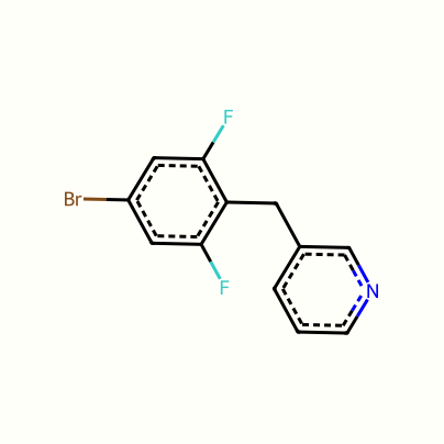 Fc1cc(Br)cc(F)c1Cc1cccnc1